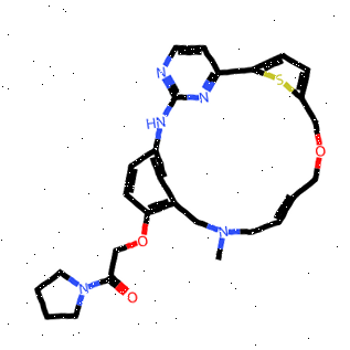 CN1C/C=C/COCc2ccc(s2)-c2ccnc(n2)Nc2ccc(OCC(=O)N3CCCC3)c(c2)C1